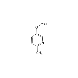 Cc1ccc(OC(C)(C)C)cn1